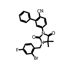 CC1(C)C(=O)N(c2ccc(C#N)c(-c3ccccc3)c2)C(=O)N1Cc1ccc(F)cc1Br